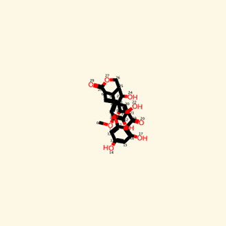 COc1cc(C2C3C=C(C4Oc5cc(O)cc(O)c5C(=O)C4O)C(O)C2COC3=O)ccc1O